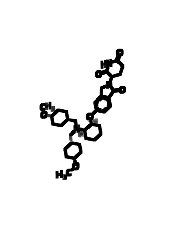 CO[C@H]1CC[C@H](CN(C[C@H]2CC[C@H](OC)CC2)[C@@H]2CCCC[C@@H]2Oc2ccc3c(c2)CN(C2CCC(=O)NC2=O)C3=O)CC1